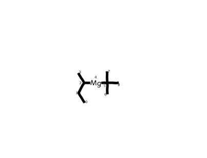 CC[CH](C)[Mg][C](C)(C)C